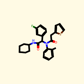 Cc1ccccc1N(C(=O)Cc1cccs1)C(C(=O)NC1CCCCC1)c1cccc(F)c1